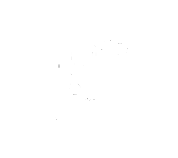 COCCCOc1cc(C[C@@H](C[C@H](N)[C@@H](O)CNC(=O)[C@@H](Cc2ccccc2)OC)C(C)C)ccc1OC.Cl